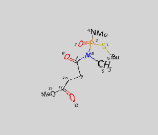 CCC(C)SP(=O)(NC)N(C)C(=O)CCC(=O)OC